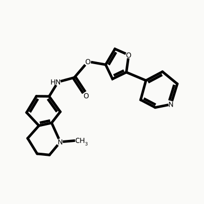 CN1CCCc2ccc(NC(=O)Oc3coc(-c4ccncc4)c3)cc21